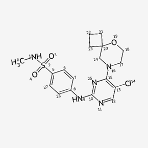 CNS(=O)(=O)c1ccc(Nc2ncc(Cl)c(N3CCOC4(CCC4)C3)n2)cc1